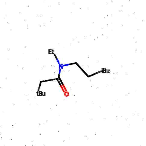 CCC(C)CCN(CC)C(=O)CC(C)(C)C